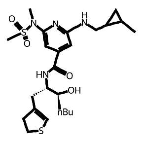 CCCC[C@H](O)[C@H](CC1=CSCC1)NC(=O)c1cc(NCC2CC2C)nc(N(C)S(C)(=O)=O)c1